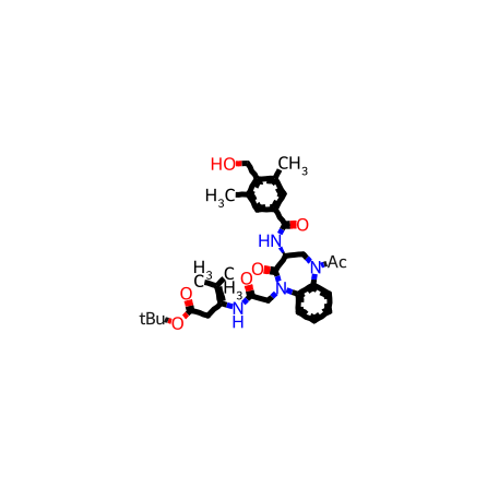 CC(=O)N1C[C@H](NC(=O)c2cc(C)c(CO)c(C)c2)C(=O)N(CC(=O)NC(CC(=O)OC(C)(C)C)=C(C)C)c2ccccc21